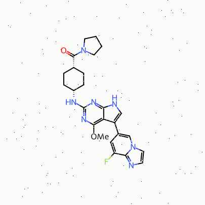 COc1nc(N[C@H]2CC[C@@H](C(=O)N3CCCC3)CC2)nc2[nH]cc(-c3cc(F)c4nccn4c3)c12